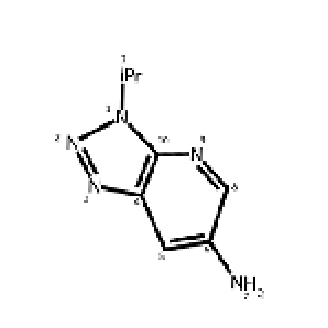 CC(C)n1nnc2cc(N)cnc21